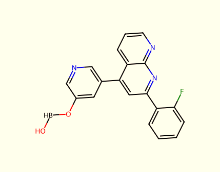 OBOc1cncc(-c2cc(-c3ccccc3F)nc3ncccc23)c1